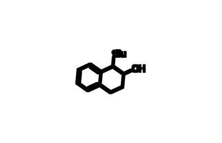 CC(C)(C)C1c2ccccc2CCC1O